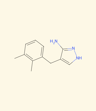 Cc1cccc(Cc2c[nH]nc2N)c1C